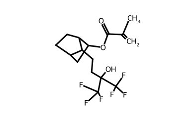 C=C(C)C(=O)OC1CC2CCC1C2CCC(O)(C(F)(F)F)C(F)(F)F